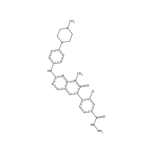 CN1CCN(c2ccc(Nc3ncc4cc(-c5ccc(C(=O)NN)cc5Cl)c(=O)n(C)c4n3)cc2)CC1